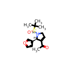 CC(=O)C1=CCN([S@@+]([O-])C(C)(C)C)[C@@H]1c1ccoc1